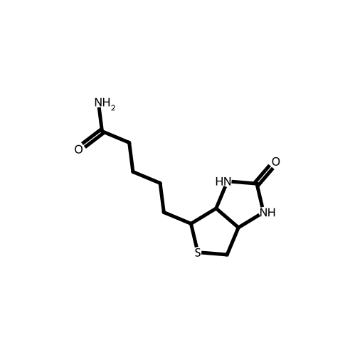 NC(=O)CCCCC1SCC2NC(=O)NC21